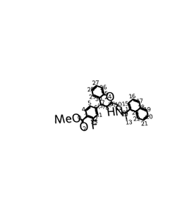 COC(=O)c1ccc([C@@H]2C[C@H](CN[C@H](C)c3cccc4ccccc34)Oc3ccccc32)cc1F